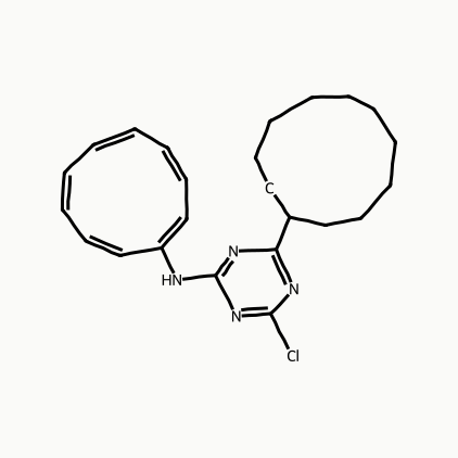 Clc1nc(Nc2ccccccccc2)nc(C2CCCCCCCCCC2)n1